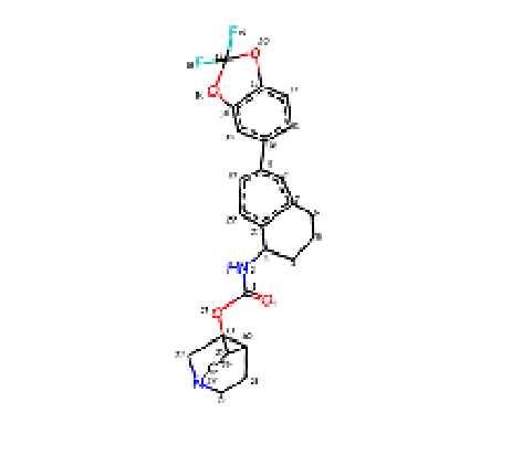 O=C(NC1CCCc2cc(-c3ccc4c(c3)OC(F)(F)O4)ccc21)OC1CN2CCC1CC2